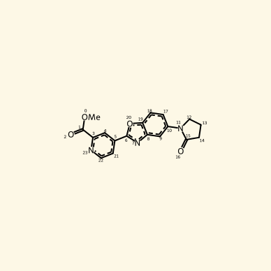 COC(=O)c1cc(-c2nc3cc(N4CCCC4=O)ccc3o2)ccn1